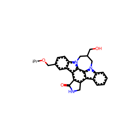 CC(C)OCc1ccc2c(c1)c1c3c(c4c5ccccc5n5c4c1n2CC(CO)C5)CNC3=O